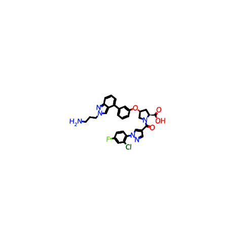 NCCCn1cc2c(-c3cccc(O[C@H]4C[C@@H](C(=O)O)N(C(=O)c5cnn(-c6ccc(F)cc6Cl)c5)C4)c3)cccc2n1